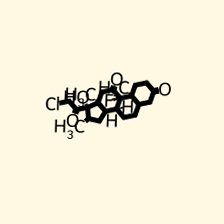 CC1C[C@H]2[C@@H]3CCC4CC(=O)CC[C@]4(C)[C@@]3(F)C(=O)C[C@]2(C)[C@@]1(O)C(=O)CCl